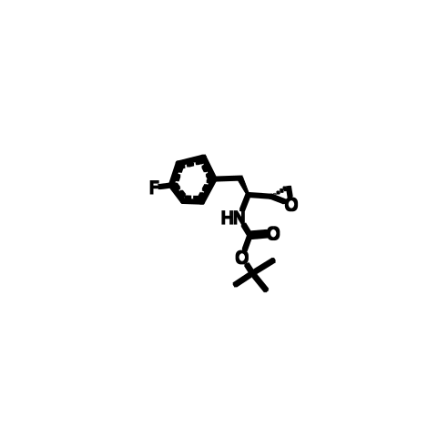 CC(C)(C)OC(=O)N[C@@H](Cc1ccc(F)cc1)[C@@H]1CO1